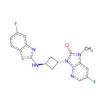 Cn1c(=O)n([C@H]2C[C@H](Nc3nc4cc(F)ccc4s3)C2)c2ncc(F)cc21